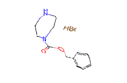 Br.O=C(OCc1ccccc1)N1CCNCC1